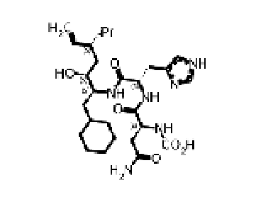 C=C[C@@H](C[C@H](O)[C@H](CC1CCCCC1)NC(=O)[C@H](Cc1c[nH]cn1)NC(=O)[C@H](CC(N)=O)NC(=O)O)C(C)C